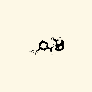 O=C(OC1C2CC3C(=O)OC1C3C2)c1cccc(S(=O)(=O)O)c1